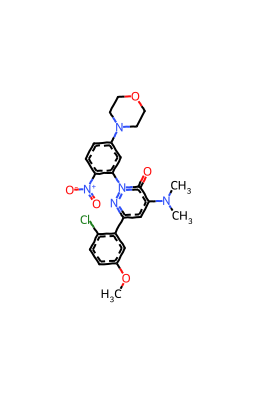 COc1ccc(Cl)c(-c2cc(N(C)C)c(=O)n(-c3cc(N4CCOCC4)ccc3[N+](=O)[O-])n2)c1